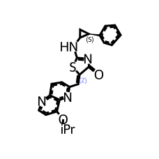 CC(C)Oc1ccnc2ccc(/C=C3\SC(NC4C[C@H]4c4ccccc4)=NC3=O)nc12